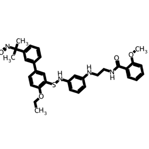 CCOc1ccc(-c2cccc(C(C)(C)N=O)c2)cc1SNc1cccc(NCCNC(=O)c2ccccc2OC)c1